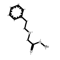 CCC(C)OC(=O)COCCc1ccccc1